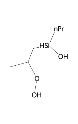 CCC[SiH](O)CC(C)OO